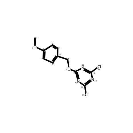 COc1ccc(COc2nc(Cl)nc(Cl)n2)cc1